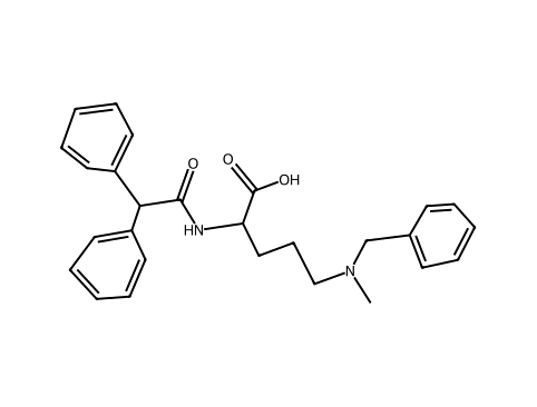 CN(CCCC(NC(=O)C(c1ccccc1)c1ccccc1)C(=O)O)Cc1ccccc1